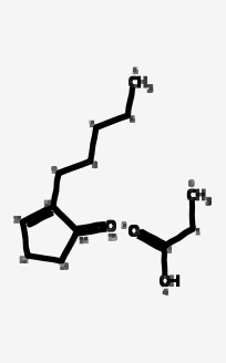 CCC(=O)O.CCCCCC1=CCCC1=O